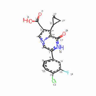 O=C(O)c1cn2cc(-c3ccc(Cl)c(F)c3)[nH]c(=O)c2c1C1CC1